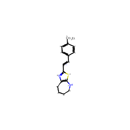 CCOC(=O)c1ccc(/C=C/c2nc3c(s2)NCCCC3)cc1